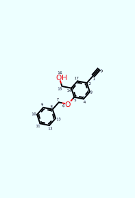 C#Cc1ccc(OCc2ccccc2)c(CO)c1